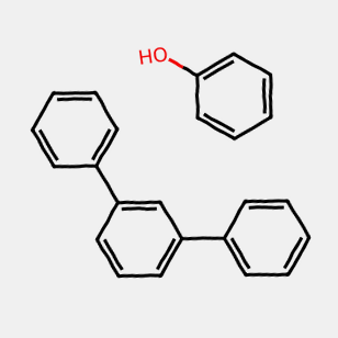 Oc1ccccc1.c1ccc(-c2cccc(-c3ccccc3)c2)cc1